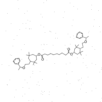 CC(OCCC1CC(C)(C)CC(OC(=O)CCCCCCCCC(=O)OC2CC(C)(C)C(CCOC(C)c3ccccc3)C(C)(C)C2)CC1(C)C)c1ccccc1